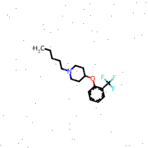 [CH2]CCCCN1CCC(Oc2ccccc2C(F)(F)F)CC1